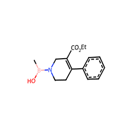 CCOC(=O)C1=C(c2ccccc2)CCN(B(C)O)C1